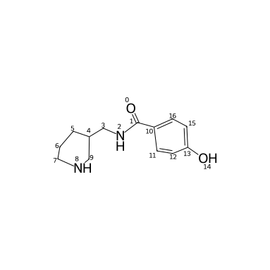 O=C(NCC1CCCNC1)c1ccc(O)cc1